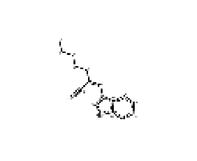 CCCCCC(C#N)=Cc1c[nH]c2ccccc12